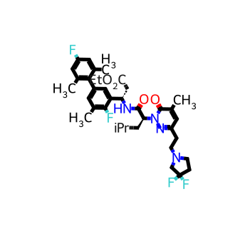 CCOC(=O)C[C@H](NC(=O)[C@H](CC(C)C)n1nc(CCN2CCC(F)(F)C2)cc(C)c1=O)c1cc(-c2c(C)cc(F)cc2C)cc(C)c1F